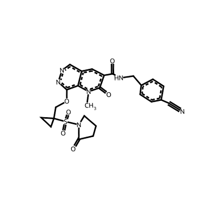 Cn1c(=O)c(C(=O)NCc2ccc(C#N)cc2)cc2cnnc(OCC3(S(=O)(=O)N4CCCC4=O)CC3)c21